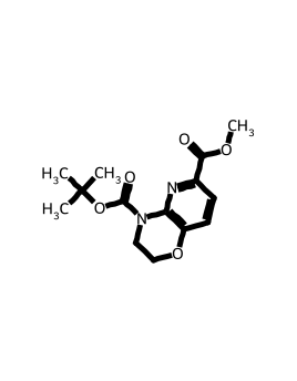 COC(=O)c1ccc2c(n1)N(C(=O)OC(C)(C)C)CCO2